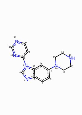 c1cc(-n2cnc3ccc(N4CCNCC4)cc32)ncn1